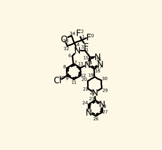 FC(F)(F)C1(N2Cc3cc(Cl)ccc3-n3c(nnc3C3CCN(c4cnccn4)CC3)C2)COC1